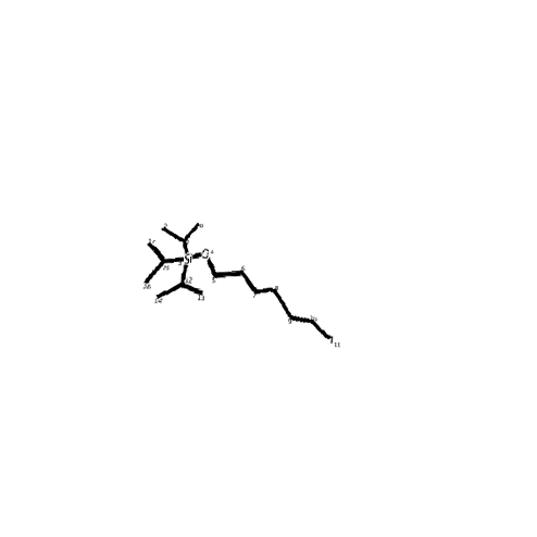 CC(C)[Si](OCCCCCCI)(C(C)C)C(C)C